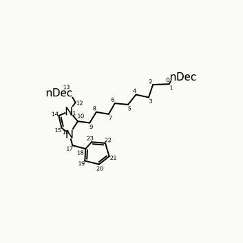 CCCCCCCCCCCCCCCCCCCC1N(CCCCCCCCCCC)C=CN1Cc1ccccc1